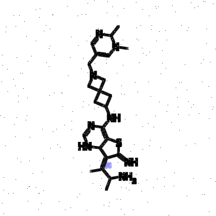 C/C(=C1/C(=N)SC2=C(NC3CC4(C3)CN(CC3=CN(C)C(C)N=C3)C4)N=CNC21)C(C)N